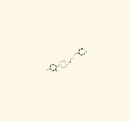 C[C@H]1CN(c2ccc(Cl)cc2Cl)CCN1C(=O)COCc1ccncc1